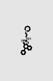 C/C=C1/CC(c2ccccc2)c2ccccc2/C1=N/C(=N)NCCCN1CCCCCC1